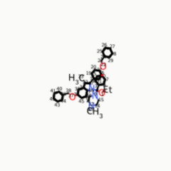 CCOC(c1ccccc1)(N1CCN(C)CC1)n1c(-c2ccc(OCc3ccccc3)cc2)c(C)c2cc(OCc3ccccc3)ccc21